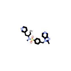 Cc1nc2cnccc2n1Cc1ccc(S(=O)(=O)N(C)C(Cc2cccnc2)CC(C)C)cc1